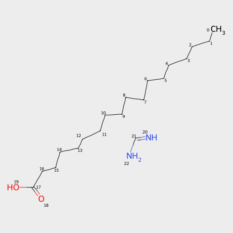 CCCCCCCCCCCCCCCCCC(=O)O.N=CN